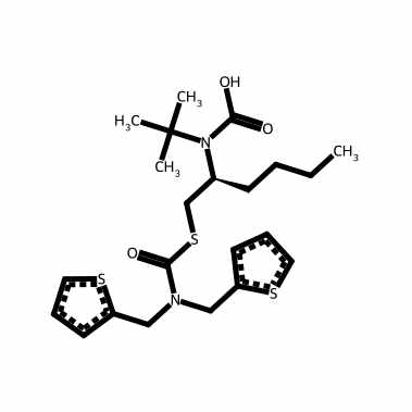 CCCC[C@@H](CSC(=O)N(Cc1cccs1)Cc1cccs1)N(C(=O)O)C(C)(C)C